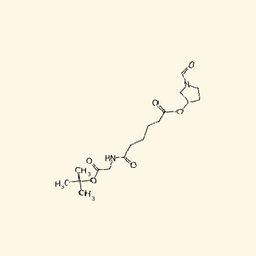 CC(C)(C)OC(=O)CNC(=O)CCCCC(=O)OC1CCN(C=O)C1